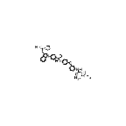 CC(C)NC(=O)Nc1cccc(Oc2ccc(NC(=O)c3ccc(-n4cc(CC(C)N5CCCC5)c5ccccc54)cc3)cc2)c1